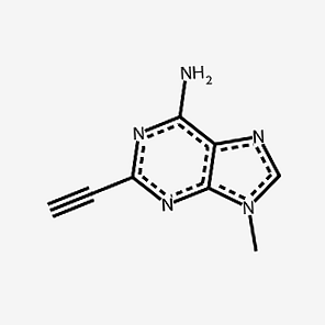 C#Cc1nc(N)c2ncn(C)c2n1